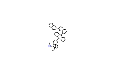 C=Cc1oc2cc(-c3c4ccccc4c(-c4cccc5ccc(-c6ccc7ccccc7c6)cc45)c4ccccc34)ccc2c1/C=C\C